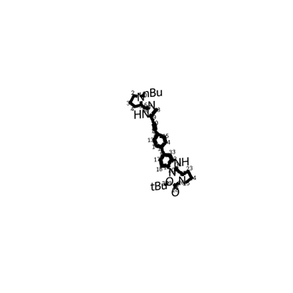 CCCCN1CCCC1c1ncc(C#Cc2ccc(-c3ccc4nc(C5CCCN5C(=O)OC(C)(C)C)[nH]c4c3)cc2)[nH]1